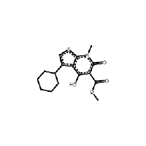 COC(=O)c1c(O)c2c(C3CCCCC3)csc2n(C)c1=O